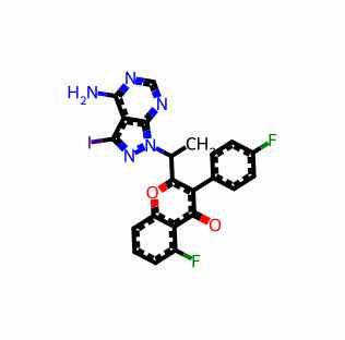 CC(c1oc2cccc(F)c2c(=O)c1-c1ccc(F)cc1)n1nc(I)c2c(N)ncnc21